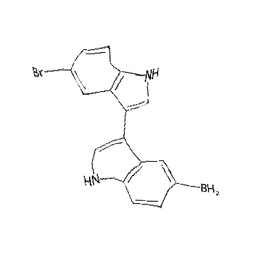 Bc1ccc2[nH]cc(-c3c[nH]c4ccc(Br)cc34)c2c1